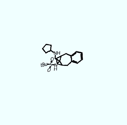 CC(C)(C)S(=O)(=O)NC1(CNC2CCCC2)C2CCC1Cc1ccccc1C2